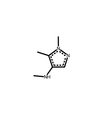 CNc1cnn(C)c1C